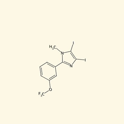 Cn1c(-c2cccc(OC(F)(F)F)c2)nc(I)c1I